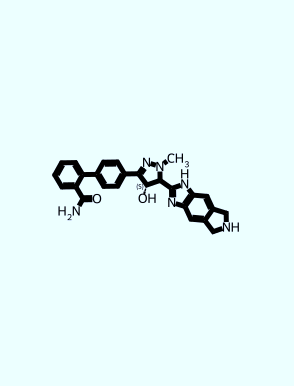 CN1N=C(c2ccc(-c3ccccc3C(N)=O)cc2)[C@@H](O)C1c1nc2cc3c(cc2[nH]1)CNC3